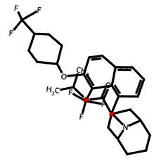 CC(C)OC(=O)C1CC2CCCC(C1)N2Cc1cccc2ccc(OC3CCC(C(F)(F)F)CC3)c(C(F)(F)F)c12